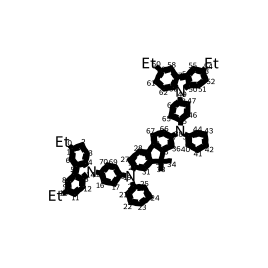 CCc1ccc2c(c1)c1cc(CC)ccc1n2-c1ccc(N(c2ccccc2)c2ccc3c(c2)C(C)(C)c2cc(N(c4ccccc4)c4ccc(-n5c6ccc(CC)cc6c6cc(CC)ccc65)cc4)ccc2-3)cc1